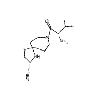 CC(C)[C@H](N)C(=O)N1CCC2(CC1)N[C@H](C#N)CS2